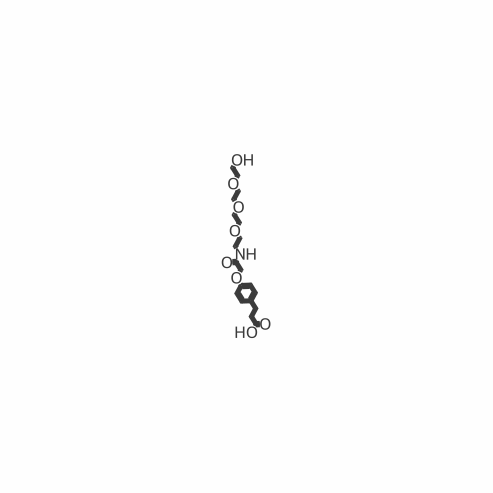 O=C(O)CCc1ccc(OCC(=O)NCCOCCOCCOCCO)cc1